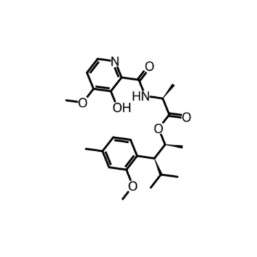 COc1cc(C)ccc1[C@H](C(C)C)[C@H](C)OC(=O)[C@H](C)NC(=O)c1nccc(OC)c1O